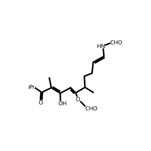 C/C(C(=O)C(C)C)=C(O)\C=C(/OC=O)C(C)CC/C=C/NC=O